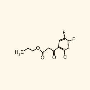 CCCOC(=O)CC(=O)c1cc(F)c(F)cc1Cl